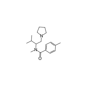 Cc1ccc(C(=O)N(C)C(CN2CCCC2)C(C)C)cc1